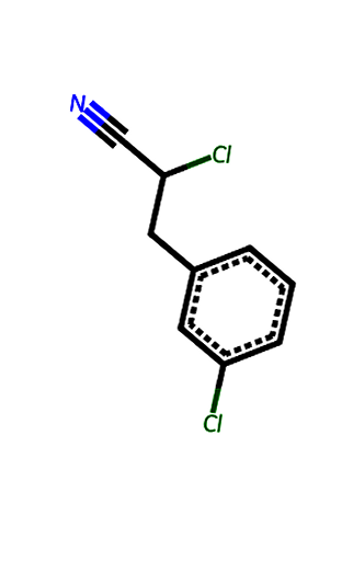 N#CC(Cl)Cc1cccc(Cl)c1